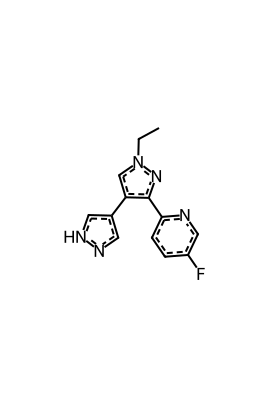 CCn1cc(-c2cn[nH]c2)c(-c2ccc(F)cn2)n1